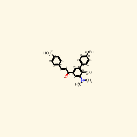 CN(C)c1cc(C(=O)C=Cc2ccc(C(=O)O)cc2)cc(-c2ccc(C(C)(C)C)cc2)c1C(C)(C)C